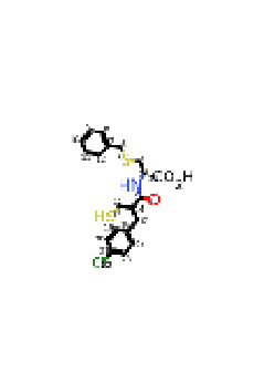 O=C(N[C@@H](CSCc1ccccc1)C(=O)O)C(CS)Cc1ccc(Cl)cc1